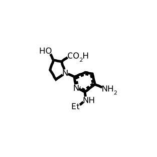 CCNc1nc(N2CCC(O)C2C(=O)O)ccc1N